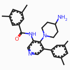 Cc1cc(C)cc(C(=O)Nc2cncc(-c3cc(C)cc(C)c3)c2N2CCC(N)CC2)c1